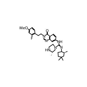 COc1ccc(CCn2cnc3cc(N/C(=N/C4CCC(C)(C)C[C@@H]4C)N4CCN[C@@H](C)C4)ccc3c2=O)c(F)c1